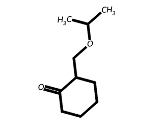 CC(C)OCC1CCCCC1=O